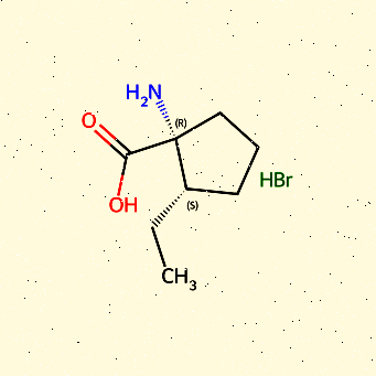 Br.CC[C@H]1CCC[C@]1(N)C(=O)O